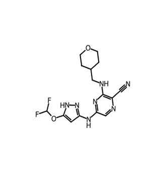 N#Cc1ncc(Nc2cc(OC(F)F)[nH]n2)nc1NCC1CCOCC1